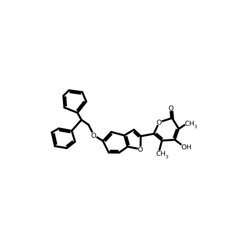 Cc1c(-c2cc3cc(OCC(c4ccccc4)c4ccccc4)ccc3o2)oc(=O)c(C)c1O